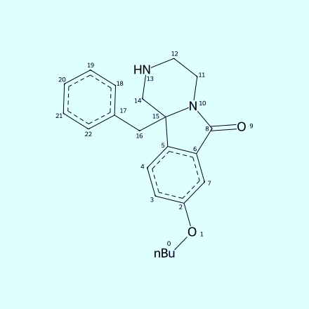 CCCCOc1ccc2c(c1)C(=O)N1CCNCC21Cc1ccccc1